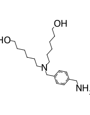 NCc1ccc(CN(CCCCCCO)CCCCCCO)cc1